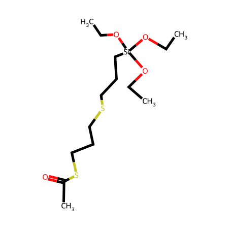 CCO[Si](CCCSCCCSC(C)=O)(OCC)OCC